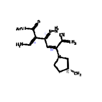 C=C(C#N)\C(=C/C(=N\N)C(=C/N)/C(=O)NC(C)=O)N1CC[C@@H](C)C1